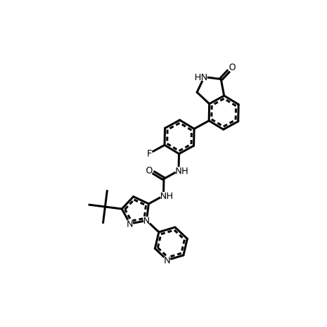 CC(C)(C)c1cc(NC(=O)Nc2cc(-c3cccc4c3CNC4=O)ccc2F)n(-c2cccnc2)n1